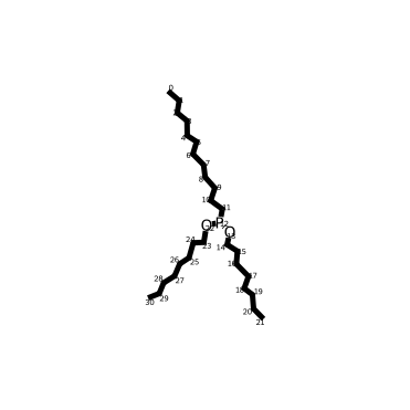 CCCCCCCCCCCCP(OCCCCCCCC)OCCCCCCCC